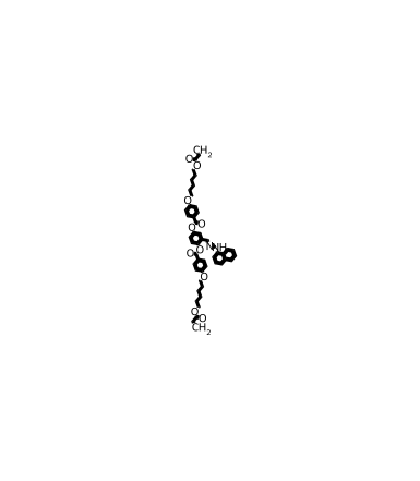 C=CC(=O)OCCCCCCOc1ccc(C(=O)Oc2ccc(OC(=O)c3ccc(OCCCCCCOC(=O)C=C)cc3)c(/C=N/Nc3cccc4ccccc34)c2)cc1